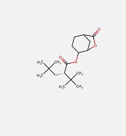 CC(C)(C)C[C@H](C(=O)OC1CCC2CC1OC2=O)C(C)(C)C